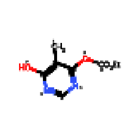 CCOC(=O)Oc1ncnc(O)c1C